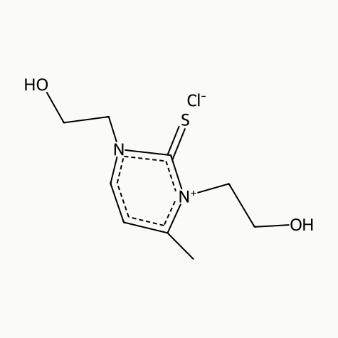 Cc1ccn(CCO)c(=S)[n+]1CCO.[Cl-]